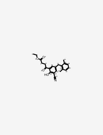 CCOC(=O)CCC(=O)c1cc(Cc2c(C)cccc2C)cc(C#N)c1O